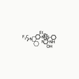 C=C(N1Cc2cc(CC)c(Nc3ncc(O)c(Nc4ccccc4SC(C)C)n3)cc2C2(CCCCC2)C1)C(F)(F)F